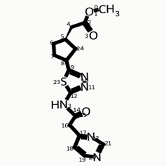 COC(=O)C[C@@H]1CCC(c2nnc(NC(=O)Cc3ccncn3)s2)C1